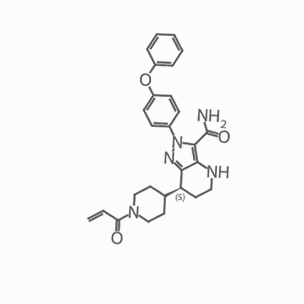 C=CC(=O)N1CCC([C@@H]2CCNc3c2nn(-c2ccc(Oc4ccccc4)cc2)c3C(N)=O)CC1